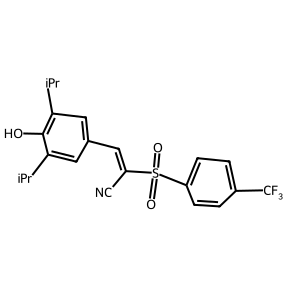 CC(C)c1cc(/C=C(\C#N)S(=O)(=O)c2ccc(C(F)(F)F)cc2)cc(C(C)C)c1O